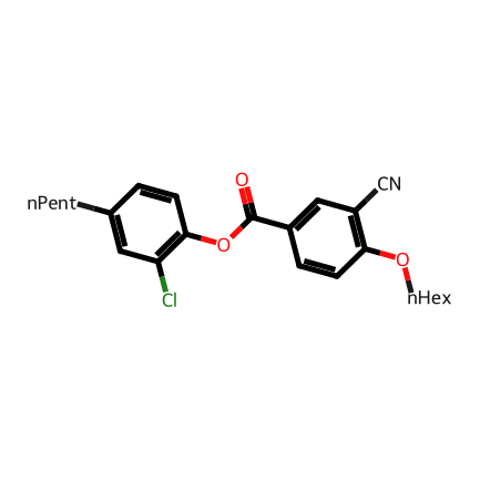 CCCCCCOc1ccc(C(=O)Oc2ccc(CCCCC)cc2Cl)cc1C#N